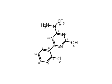 NN(c1nc(O)nc(-c2ccccc2Cl)n1)C(F)(F)F